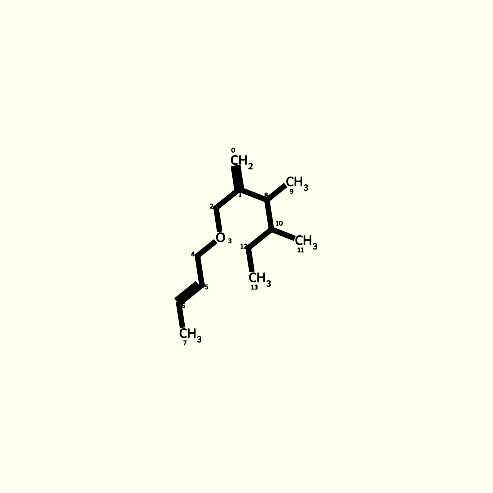 C=C(COC/C=C/C)C(C)C(C)CC